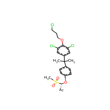 CC(=O)[C@@H](Oc1ccc(C(C)(C)c2cc(Cl)c(OCCCCl)c(Cl)c2)cc1)S(C)(=O)=O